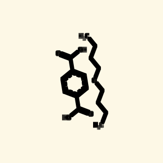 CCCCOCCCC.O=C(O)c1ccc(C(=O)O)cc1